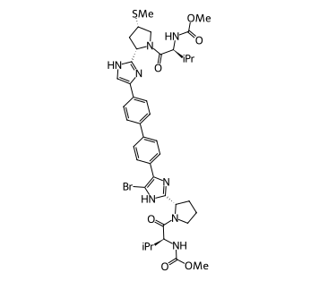 COC(=O)N[C@H](C(=O)N1C[C@@H](SC)C[C@H]1c1nc(-c2ccc(-c3ccc(-c4nc([C@@H]5CCCN5C(=O)[C@@H](NC(=O)OC)C(C)C)[nH]c4Br)cc3)cc2)c[nH]1)C(C)C